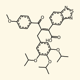 COc1ccc(C(=O)C(Cc2cc(OC(C)C)c(OC(C)C)c(OC(C)C)c2)=C(C(=O)O)c2ccc3nsnc3c2)cc1